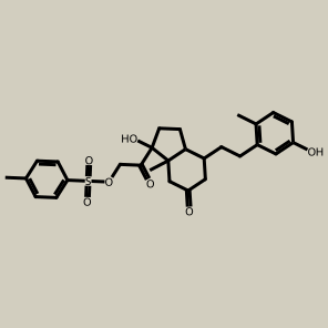 Cc1ccc(S(=O)(=O)OCC(=O)C2(O)CCC3C(CCc4cc(O)ccc4C)CC(=O)CC32C)cc1